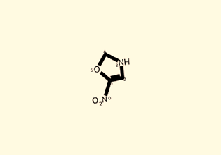 O=[N+]([O-])C1=CN[CH]O1